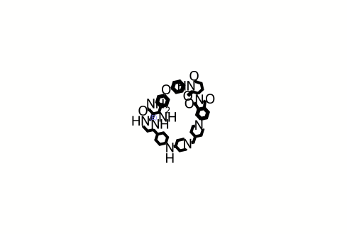 N=C(/C(C(N)=O)=C1/NCCC(C2CCC(NC3CCN(CC4CCN(c5ccc6c(c5)C(=O)N(C5CCC(=O)NC5=O)C6=O)CC4)CC3)CC2)N1)c1ccc(Oc2ccccc2)cc1